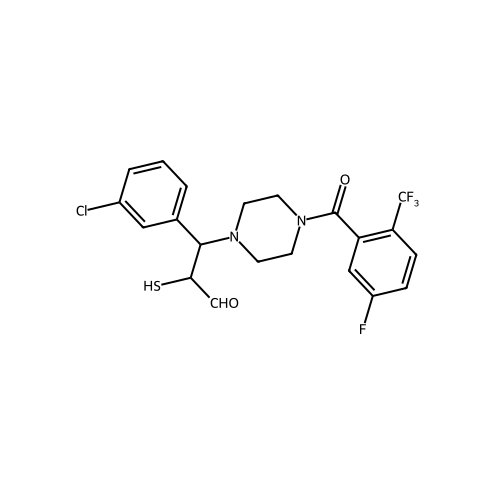 O=CC(S)C(c1cccc(Cl)c1)N1CCN(C(=O)c2cc(F)ccc2C(F)(F)F)CC1